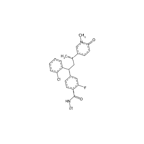 C=C(CC(c1ccc(C(=O)NCC)c(F)c1)c1ccccc1Cl)c1ccc(=O)n(C)c1